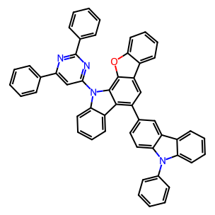 c1ccc(-c2cc(-n3c4ccccc4c4c(-c5ccc6c(c5)c5ccccc5n6-c5ccccc5)cc5c6ccccc6oc5c43)nc(-c3ccccc3)n2)cc1